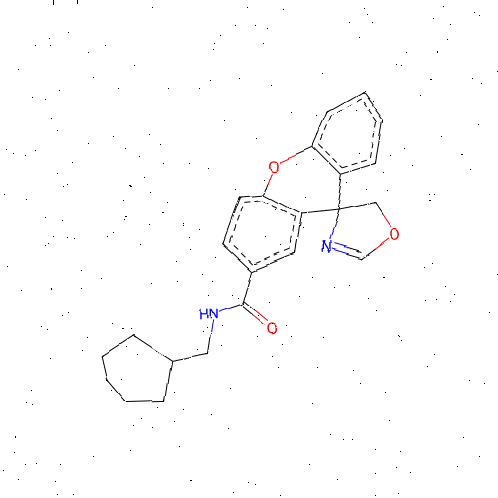 O=C(NCC1CCCCC1)c1ccc2c(c1)C1(COC=N1)c1ccccc1O2